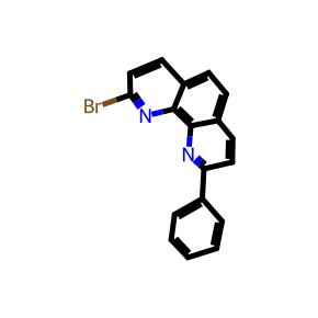 Brc1ccc2ccc3ccc(-c4ccccc4)nc3c2n1